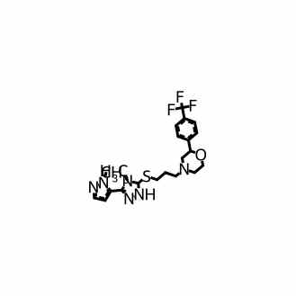 CN1C(c2ccnn2C)=NNC1SCCCN1CCOC(c2ccc(C(F)(F)F)cc2)C1